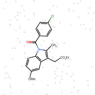 CCOC(=O)Cc1c(C)n(C(=O)c2ccc(Cl)cc2)c2ccc(OC)cc12